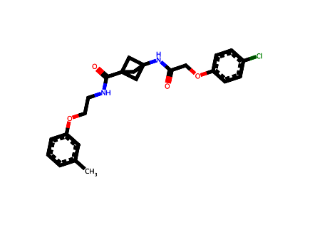 Cc1cccc(OCCNC(=O)C23CC(NC(=O)COc4ccc(Cl)cc4)(C2)C3)c1